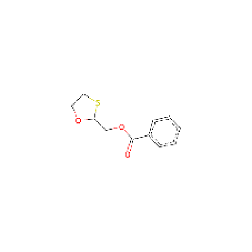 O=C(OCC1OCCS1)c1ccccc1